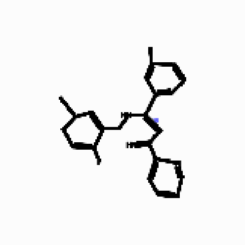 Cc1cccc(/C(=C/C(=N)c2ccccn2)NCC2=CC(C)CC=C2F)c1